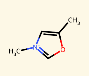 Cc1c[n+](C)co1